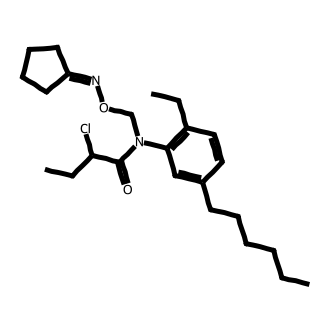 CCCCCCc1ccc(CC)c(N(CON=C2CCCC2)C(=O)C(Cl)CC)c1